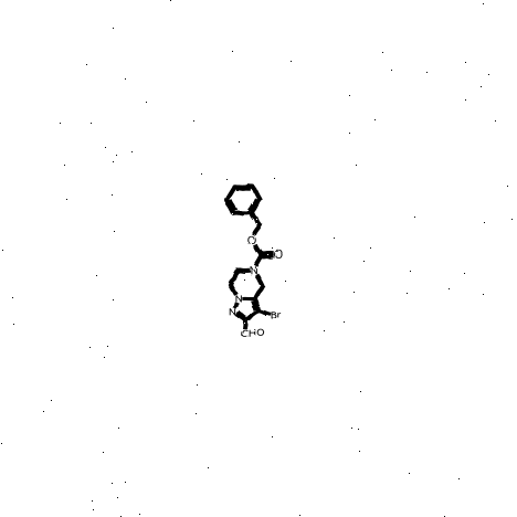 O=Cc1nn2c(c1Br)CN(C(=O)OCc1ccccc1)CC2